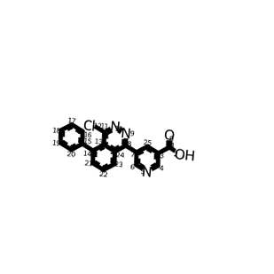 O=C(O)c1cncc(-c2nnc(Cl)c3c(-c4ccccc4)cccc23)c1